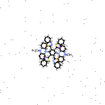 CN1c2ccccc2N(c2c(-c3nc4ccccc4s3)c(-c3nc4ccccc4s3)c(N3c4ccccc4N(C)c4ccccc43)c(-c3nc4ccccc4s3)c2-c2nc3ccccc3s2)c2ccccc21